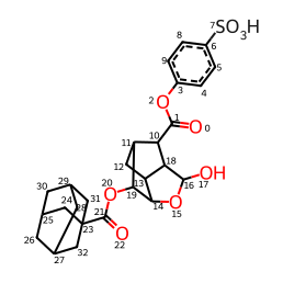 O=C(Oc1ccc(S(=O)(=O)O)cc1)C1C2CC3C(OC(O)C31)C2OC(=O)C12CC3CC(CC(C3)C1)C2